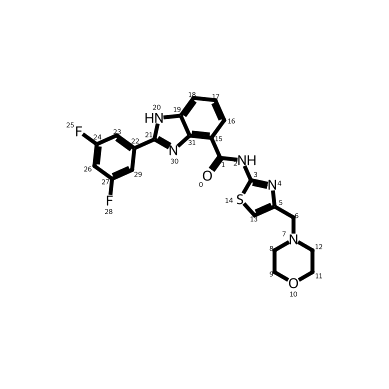 O=C(Nc1nc(CN2CCOCC2)cs1)c1cccc2[nH]c(-c3cc(F)cc(F)c3)nc12